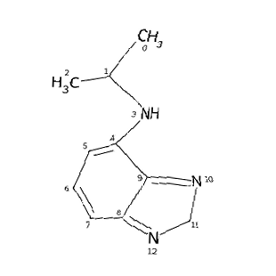 CC(C)Nc1cccc2c1=NCN=2